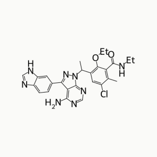 CCNC(=O)c1c(C)c(Cl)cc(C(C)n2nc(-c3ccc4nc[nH]c4c3)c3c(N)ncnc32)c1OCC